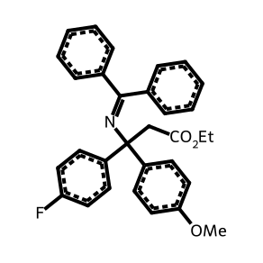 CCOC(=O)CC(N=C(c1ccccc1)c1ccccc1)(c1ccc(F)cc1)c1ccc(OC)cc1